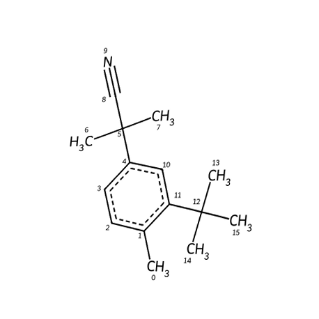 Cc1ccc(C(C)(C)C#N)cc1C(C)(C)C